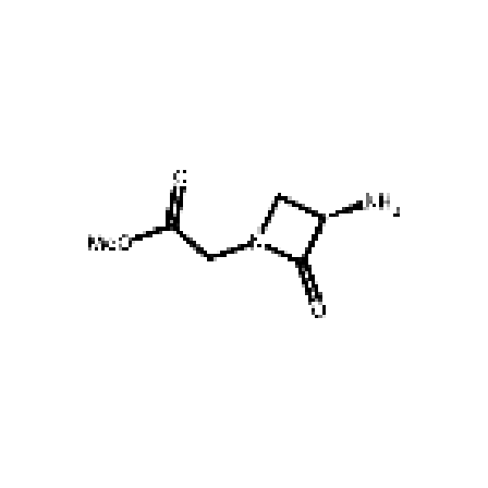 COC(=O)CN1C[C@@H](N)C1=O